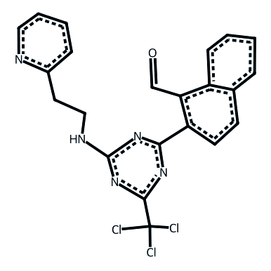 O=Cc1c(-c2nc(NCCc3ccccn3)nc(C(Cl)(Cl)Cl)n2)ccc2ccccc12